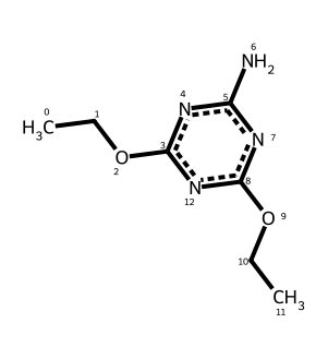 CCOc1nc(N)nc(OCC)n1